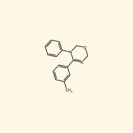 Cc1cccc(C2=NCOCN2c2ccccc2)c1